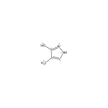 CC1=CN[N+]=C1O